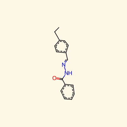 CCc1ccc(/C=N/NC(=O)c2ccccc2)cc1